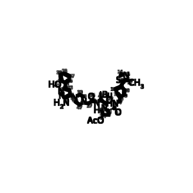 CC(=O)O[C@@H]1C[C@@H](C(=O)NCc2ccc(-c3scnc3C)cc2)N(C(=O)C(NC(=O)CN2CCN(c3cc(-c4ccccc4O)nnc3N)CC2)C(C)(C)C)C1